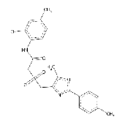 Cc1ccc(-c2nc(CS(=O)(=O)CC(=O)Nc3ccc(C)cc3Cl)c(C)o2)cc1